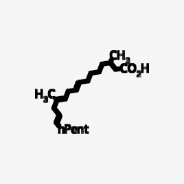 CCCCCC=CCC(C)=CCC=CCCCCC(C)CC(=O)O